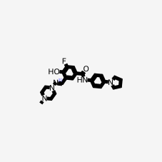 CN1CCN(/N=C/c2cc(C(=O)Nc3ccc(N4CCCC4)cc3)cc(F)c2O)CC1